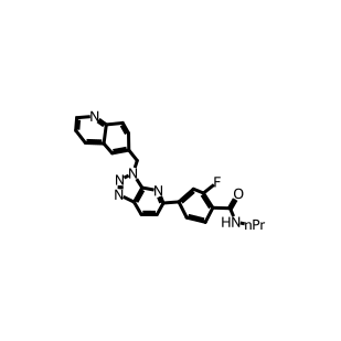 CCCNC(=O)c1ccc(-c2ccc3nnn(Cc4ccc5ncccc5c4)c3n2)cc1F